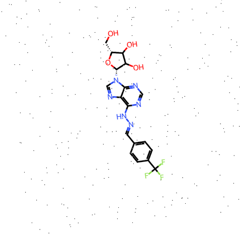 OC[C@H]1O[C@@H](n2cnc3c(N/N=C/c4ccc(C(F)(F)F)cc4)ncnc32)C(O)C1O